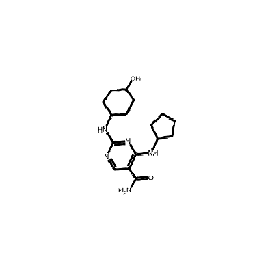 NC(=O)c1cnc(NC2CCC(O)CC2)nc1NC1CCCC1